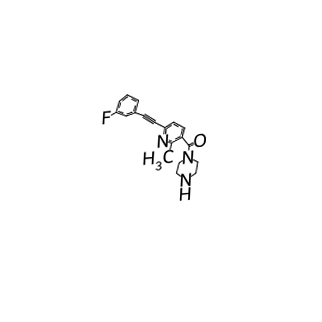 Cc1nc(C#Cc2cccc(F)c2)ccc1C(=O)N1CCNCC1